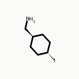 NC[C@H]1CC[C@H](I)CC1